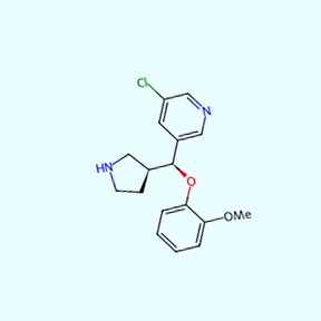 COc1ccccc1O[C@H](c1cncc(Cl)c1)[C@H]1CCNC1